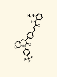 Nc1ccccc1NC(=O)/C=C/c1ccc(C(CN2CCOCC2)C(=O)Nc2ccc(C(F)(F)F)cc2)cc1